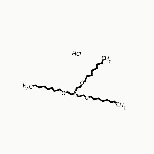 CCCCCCCCOCCN(CCOCCCCCCCC)CCOCCCCCCCC.Cl